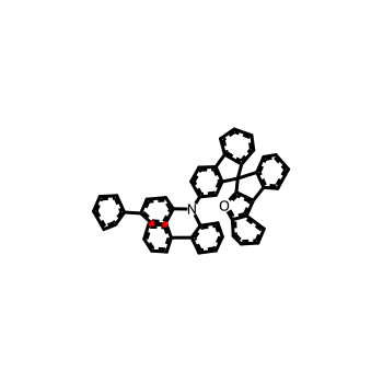 c1ccc(-c2ccc(N(c3ccc4c(c3)C3(c5ccccc5-4)c4ccccc4-c4c3oc3ccccc43)c3ccccc3-c3ccccc3)cc2)cc1